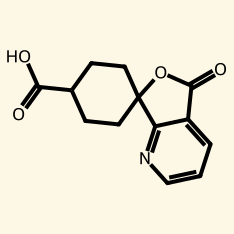 O=C1OC2(CCC(C(=O)O)CC2)c2ncccc21